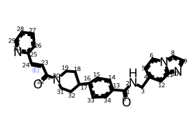 O=C(NCc1ccn2ccnc2c1)c1ccc(C2CCN(C(=O)/C=C/c3ccccn3)CC2)cc1